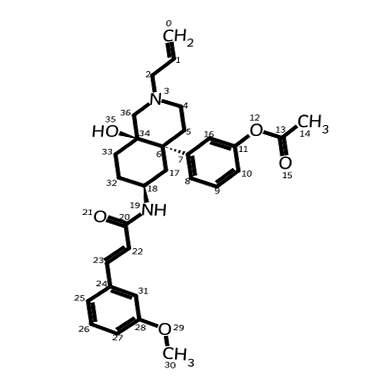 C=CCN1CC[C@@]2(c3cccc(OC(C)=O)c3)C[C@@H](NC(=O)C=Cc3cccc(OC)c3)CC[C@]2(O)C1